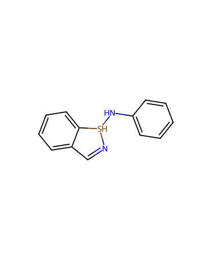 C1=N[SH](Nc2ccccc2)c2ccccc21